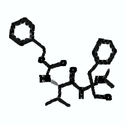 CC(C)[C@H](NC(=O)OCc1ccccc1)C(=O)NC(C=O)(Cc1ccccc1)[SiH](C)C